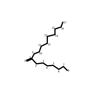 C=C(CCCCCCC)CCCCCCCCC